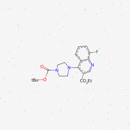 CCOC(=O)c1cnc2c(F)cccc2c1N1CCN(C(=O)OC(C)(C)C)CC1